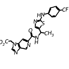 CCOC(=O)Cn1cnc2cnc(C(=O)NC(C)c3cnc(Nc4ccc(C(F)(F)F)cc4)s3)cc21